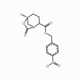 O=C(OCc1ccc([N+](=O)[O-])cc1)C1CC[C@@H]2CN1C(=O)O2